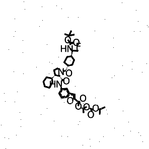 CC(C)OC(=O)OC(C)OC(=O)c1cc2cc(NC(=O)[C@@H]3[C@H](C4CCCCC4)CCN3C(=O)[C@H]3CC[C@H](C(CF)NC(=O)OC(C)(C)C)CC3)ccc2o1